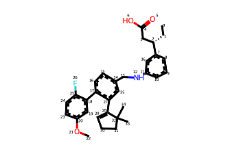 CC[C@@H](CC(=O)O)c1cccc(NCc2ccc(-c3cc(OC)ccc3F)c(C3=CCCC3(C)C)c2)c1